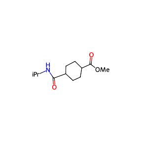 COC(=O)C1CCC(C(=O)NC(C)C)CC1